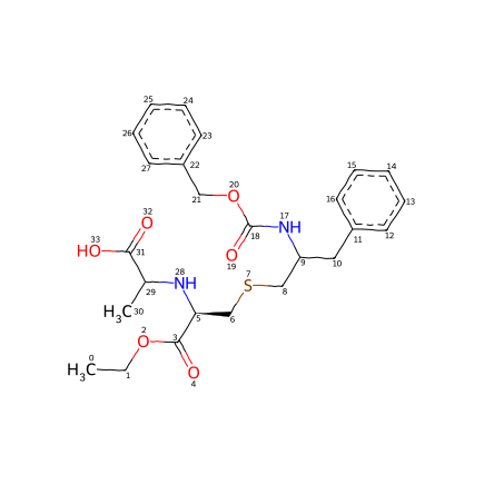 CCOC(=O)[C@H](CSCC(Cc1ccccc1)NC(=O)OCc1ccccc1)NC(C)C(=O)O